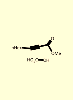 CCCCCCC#CC(=O)OC.O=C(O)O